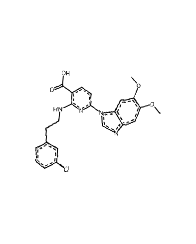 COc1cc2ncn(-c3ccc(C(=O)O)c(NCCc4cccc(Cl)c4)n3)c2cc1OC